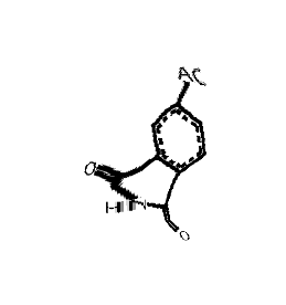 CC(=O)c1ccc2c(c1)C(=O)NC2=O